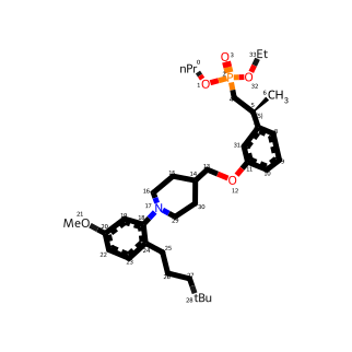 CCCOP(=O)(C[C@@H](C)c1cccc(OCC2CCN(c3cc(OC)ccc3CCCC(C)(C)C)CC2)c1)OCC